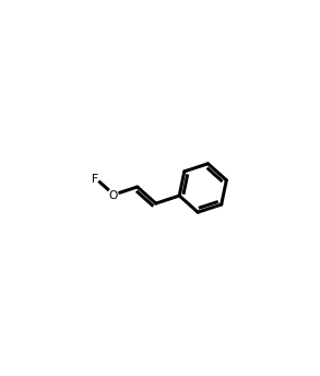 FOC=Cc1ccccc1